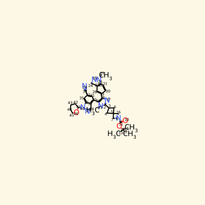 Cn1c(C2CC3(C2)CN(C(=O)OC(C)(C)C)C3)nc(-c2ccc3c(cnn3C)c2)c1-c1cc(C#N)cc2c1cnn2C1CCCCO1